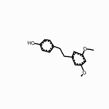 COc1cc(CCc2ccc(O)cc2)cc(OC)c1